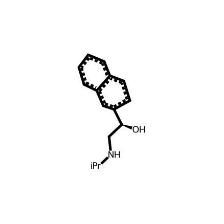 CC(C)NC[C@H](O)c1ccc2ccccc2c1